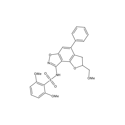 COCC1Cc2c(-c3ccccc3)cc3onc(NS(=O)(=O)c4c(OC)cccc4OC)c3c2O1